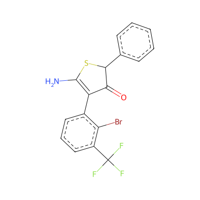 NC1=C(c2cccc(C(F)(F)F)c2Br)C(=O)C(c2ccccc2)S1